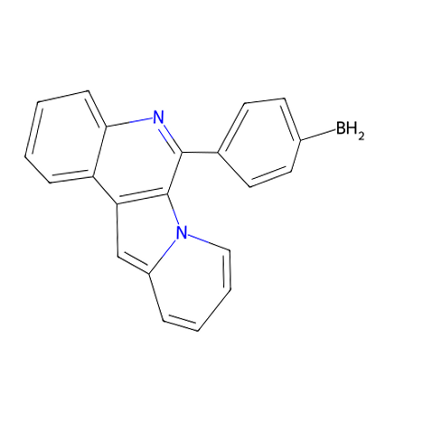 Bc1ccc(-c2nc3ccccc3c3cc4ccccn4c23)cc1